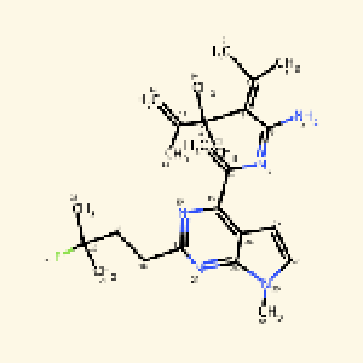 C=C(/N=C(/N)C(=C(C)C)C(C)(C)C(=C)C)c1nc(CCC(C)(C)F)nc2c1ccn2C